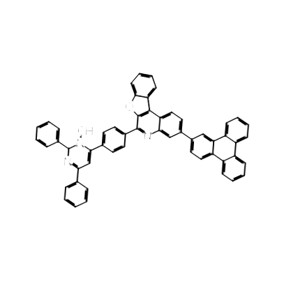 CN1C(c2ccc(-c3nc4cc(-c5ccc6c7ccccc7c7ccccc7c6c5)ccc4c4c3oc3ccccc34)cc2)=CC(c2ccccc2)=NC1c1ccccc1